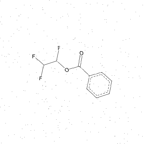 O=C(OC(F)C(F)F)c1ccccc1